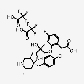 C[C@@H]1CN[C@@H](C)C[C@]1(Cc1ccc(Cl)cc1)NCC(C)(O)COc1cc(F)ccc1CC(=O)O.O=C(O)C(F)(F)F.O=C(O)C(F)(F)F